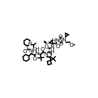 C=C[C@@H]1C[C@]1(NC(=O)[C@@H]1C[C@@]2(CN1C(=O)[C@@H](NC(=O)[C@@H](NC(=O)[C@@H]1CCCCN1C(C)C)C1CCCCC1)C(C)(C)C)C(C)(C)C21CCC1)C(=O)NS(=O)(=O)N(CCOC)C1CC1